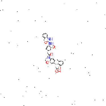 COc1cc(CC(=O)N2CCOc3cc([C@@H](CC(=O)O)c4ccccc4C)ccc32)ccc1NC(=O)Nc1ccccc1C